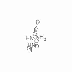 N=C(C1=CC(C(=O)NCc2ccccn2)CC=C1N)c1ccc(N2CC(C3COC3)C2)cc1